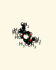 C=CC(=O)N1CC[C@H](C(=O)N(C)[C@H](C(=O)N[C@H]2Cc3cc(O)cc(c3)-c3ccc4c(c3)c(c(-c3cc(CN(C)C)cnc3OC)n4CC)CC(C)(C)COC(=O)[C@@H]3CCCN(N3)C2=O)C(C)C)C1